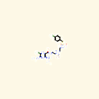 C[N+](C)(CCNC(=O)c1nc(Cl)c(N)nc1N)CCNS(=O)(=O)Cc1ccc(Cl)cc1.[Br-]